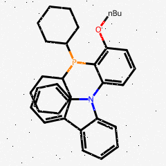 CCCCOc1cccc(-n2c3ccccc3c3ccccc32)c1P(C1CCCCC1)C1CCCCC1